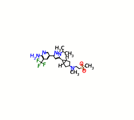 CC(C)n1nc(-c2cnc(N)c(C(F)(F)F)c2)cc1[C@H]1[C@@H]2C[C@@H](N(C)CCS(C)(=O)=O)C[C@@H]21